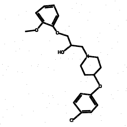 COc1ccccc1OCC(O)CN1CCC(Oc2ccc(Cl)cc2)CC1